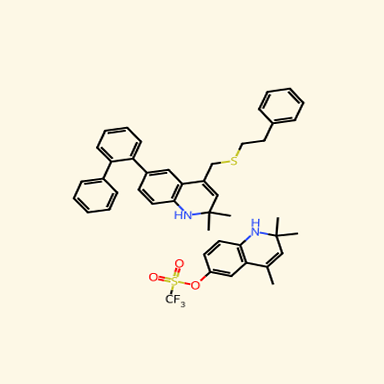 CC1(C)C=C(CSCCc2ccccc2)c2cc(-c3ccccc3-c3ccccc3)ccc2N1.CC1=CC(C)(C)Nc2ccc(OS(=O)(=O)C(F)(F)F)cc21